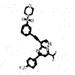 O=S(=O)(c1cccc(C#Cc2cnn3c(C(F)F)cc(-c4ccc(C(F)(F)F)cc4)nc23)c1)N1CCOCC1